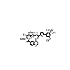 CCCCC[C@@H](C(=O)NCNC(=O)c1ccc(-c2cc(OCC)cc(P(=O)(O)O)c2)o1)[C@@H](CC)N(C=O)OC(=O)c1ccc2c(c1)NCCO2